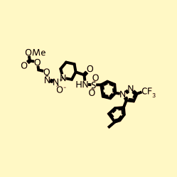 COC(=O)OCO/N=[N+](/[O-])N1CCCC(C(=O)NS(=O)(=O)c2ccc(-n3nc(C(F)(F)F)cc3-c3ccc(C)cc3)cc2)C1